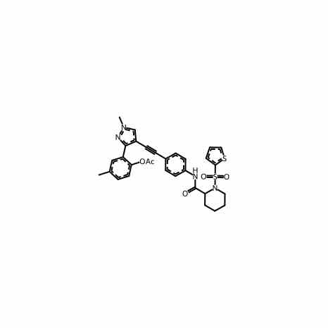 CC(=O)Oc1ccc(C)cc1-c1nn(C)cc1C#Cc1ccc(NC(=O)C2CCCCN2S(=O)(=O)c2cccs2)cc1